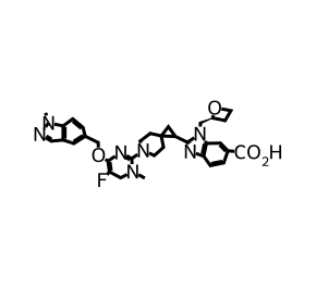 CN1CC(F)=C(OCc2ccc3c(cnn3C)c2)N=C1N1CCC2(CC1)CC2c1nc2ccc(C(=O)O)cc2n1C[C@@H]1CCO1